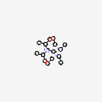 c1ccc(-c2ccc(N3c4cc(-c5ccccc5)ccc4B4c5ccc(-c6ccccc6)cc5N(c5ccc(-c6ccccc6)cc5)c5cc(-c6cc(-c7cc(-c8ccccc8)cc(-c8ccccc8)c7)nc(-c7cc(-c8ccccc8)cc(-c8ccccc8)c7)n6)cc3c54)cc2)cc1